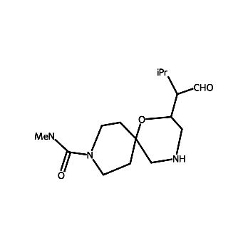 CNC(=O)N1CCC2(CC1)CNCC(C(C=O)C(C)C)O2